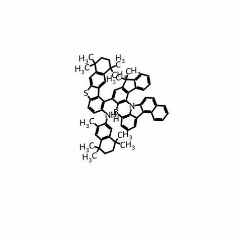 Cc1cc2c(cc1Nc1ccc3sc4cc5c(cc4c3c1-c1cc3c(c4c1Bc1cccc6c7c8ccccc8ccc7n-4c16)-c1ccccc1C3(C)C)C(C)(C)CCC5(C)C)C(C)(C)CCC2(C)C